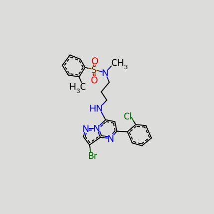 Cc1ccccc1S(=O)(=O)N(C)CCCNc1cc(-c2ccccc2Cl)nc2c(Br)cnn12